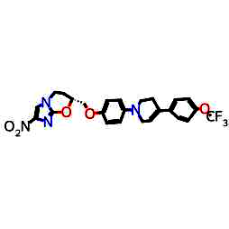 O=[N+]([O-])c1cn2c(n1)O[C@@H](COc1ccc(N3CC=C(c4ccc(OC(F)(F)F)cc4)CC3)cc1)CC2